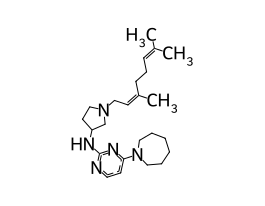 CC(C)=CCCC(C)=CCN1CCC(Nc2nccc(N3CCCCCC3)n2)C1